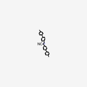 Cc1ccc(-c2ccc(/C=C(\C#N)c3ccc(-c4ccc(C)cc4)cc3)cc2)cc1